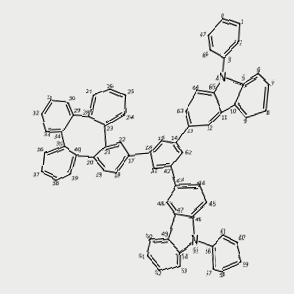 c1ccc(-n2c3ccccc3c3cc(-c4cc(-c5ccc6c(c5)-c5ccccc5-c5ccccc5-c5ccccc5-6)cc(-c5ccc6c(c5)c5ccccc5n6-c5ccccc5)c4)ccc32)cc1